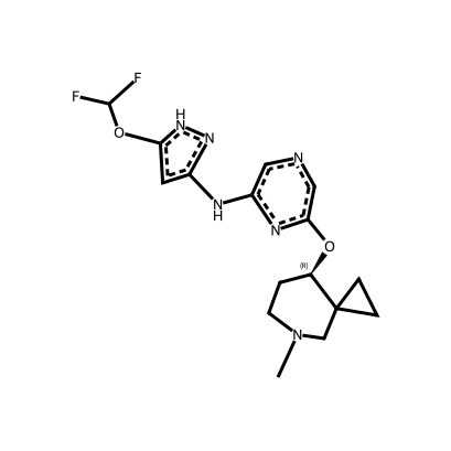 CN1CC[C@@H](Oc2cncc(Nc3cc(OC(F)F)[nH]n3)n2)C2(CC2)C1